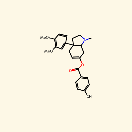 COc1ccc(C23CC=C(OC(=O)c4ccc(C#N)cc4)CC2N(C)CC3)cc1OC